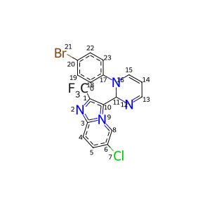 FC(F)(F)c1nc2ccc(Cl)cn2c1C1N=CC=CN1c1ccc(Br)cc1